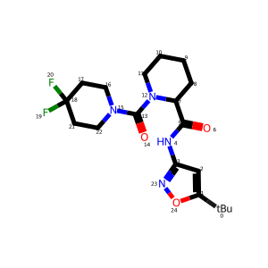 CC(C)(C)c1cc(NC(=O)C2CCCCN2C(=O)N2CCC(F)(F)CC2)no1